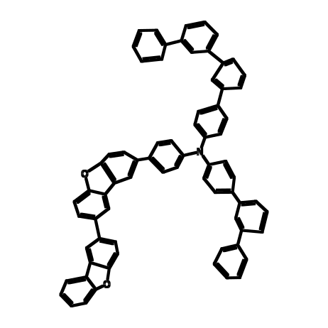 c1ccc(-c2cccc(-c3ccc(N(c4ccc(-c5cccc(-c6cccc(-c7ccccc7)c6)c5)cc4)c4ccc(-c5ccc6oc7ccc(-c8ccc9oc%10ccccc%10c9c8)cc7c6c5)cc4)cc3)c2)cc1